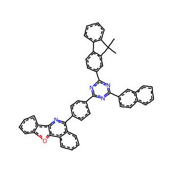 CC1(C)c2ccccc2-c2ccc(-c3nc(-c4ccc(-c5nc6c7ccccc7oc6c6ccccc56)cc4)nc(-c4ccc5ccccc5c4)n3)cc21